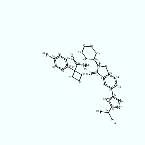 O=C1c2cc(-c3nnc(C(F)F)o3)ccc2CN1[C@@H]1CCCC[C@H]1NC(=O)C1(c2ccc(F)cc2)CCC1